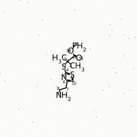 CC(C)(Sc1nc(CCN)cs1)C(=O)OP